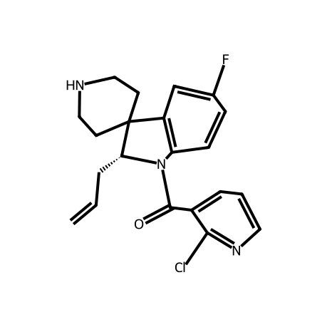 C=CC[C@H]1N(C(=O)c2cccnc2Cl)c2ccc(F)cc2C12CCNCC2